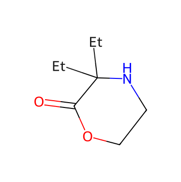 CCC1(CC)NCCOC1=O